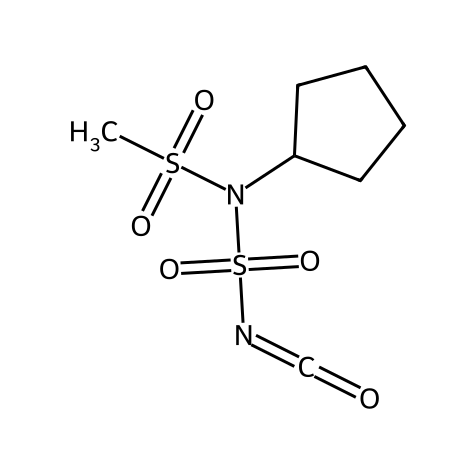 CS(=O)(=O)N(C1CCCC1)S(=O)(=O)N=C=O